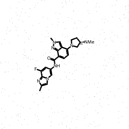 CN[C@@H]1CCN(c2ccc(C(=O)Nc3cc(F)c4nc(C)cn4c3)c3nn(C)cc23)C1